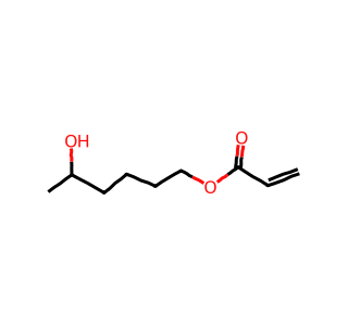 C=CC(=O)OCCCCC(C)O